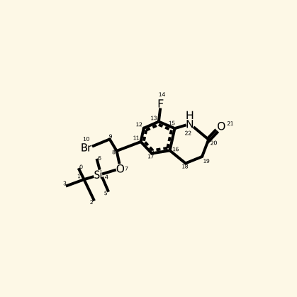 CC(C)(C)[Si](C)(C)OC(CBr)c1cc(F)c2c(c1)CCC(=O)N2